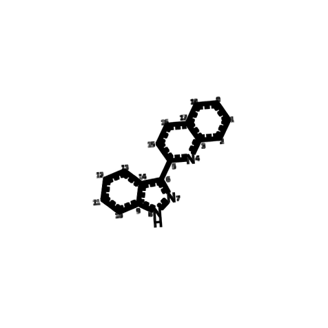 c1ccc2nc(-c3n[nH]c4ccccc34)ccc2c1